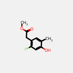 COC(=O)Cc1cc(C)c(O)cc1F